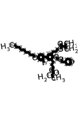 C=C(C)C(=O)OCCCc1cc(-c2ccc(OCCCCCCCCCC)cc2F)cc(CCCOC(=O)C(=C)C)c1OCOCC1CCOCC1